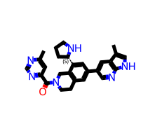 Cc1cc(C(=O)N2CCc3cc(-c4cnc5[nH]cc(C)c5c4)cc([C@@H]4CCCN4)c3C2)ncn1